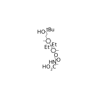 CCC(CC)(c1ccc(CC[C@@H](O)C(C)(C)C)c(C)c1)c1ccc(OCC(=O)NC(C)C(=O)O)c(C)c1